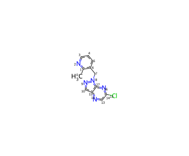 Cc1ncccc1Cn1ncc2ncc(Cl)nc21